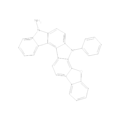 Nn1c2ccccc2c2c3c4ccc5c6ccccc6oc5c4n(-c4ccccc4)c3ccc21